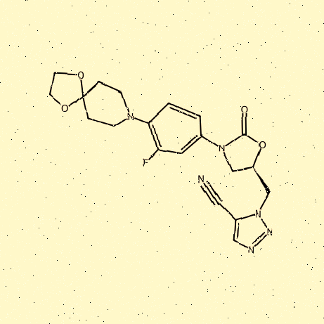 N#Cc1cnnn1C[C@H]1CN(c2ccc(N3CCC4(CC3)OCCO4)c(F)c2)C(=O)O1